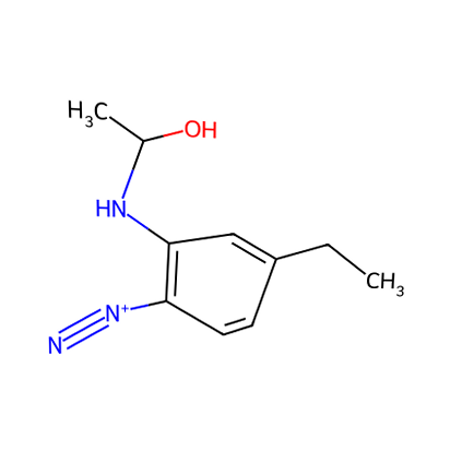 CCc1ccc([N+]#N)c(NC(C)O)c1